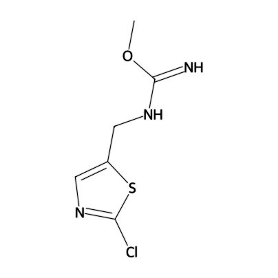 COC(=N)NCc1cnc(Cl)s1